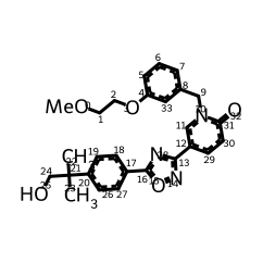 COCCOc1cccc(Cn2cc(-c3noc(-c4ccc(C(C)(C)CO)cc4)n3)ccc2=O)c1